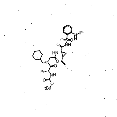 C=C[C@@H]1C[C@]1(NC(=O)CN(CC1CCCCC1)C(=O)[C@@H](NC(=O)OC(C)(C)C)C(C)C)C(=O)NS(=O)(=O)c1ccccc1NC(C)C